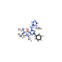 CCCCn1cnnc1Nc1nc(-c2ccccc2)nn1P(=O)(N(C)C)N(C)C